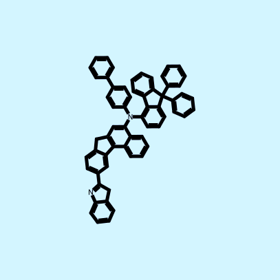 c1ccc(-c2ccc(N(c3cccc4c3-c3ccccc3C4(c3ccccc3)c3ccccc3)c3cc4c(c5ccccc35)-c3cc(C5=Nc6ccccc6C5)ccc3C4)cc2)cc1